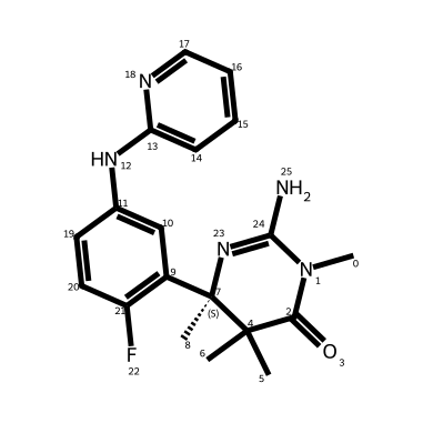 CN1C(=O)C(C)(C)[C@@](C)(c2cc(Nc3ccccn3)ccc2F)N=C1N